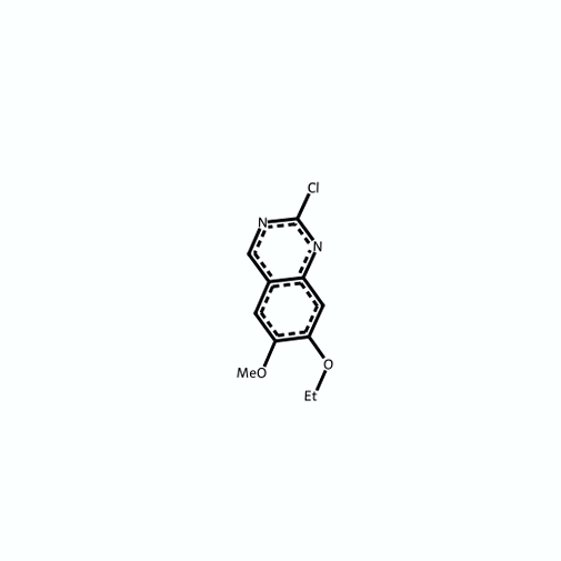 CCOc1cc2nc(Cl)ncc2cc1OC